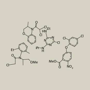 CC1COc2ccccc2N1C(=O)C(Cl)Cl.CCNc1nc(Cl)nc(NC(C)C)n1.CCc1cccc(C)c1N(C(=O)CCl)C(C)COC.COC(=O)c1cc(Oc2ccc(Cl)cc2Cl)ccc1[N+](=O)[O-]